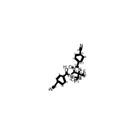 CN(C(=O)c1ccc(C#N)cc1)C1N(C)C(c2ccc(C#N)cc2)=NC1(C(F)(F)F)C(F)(F)F